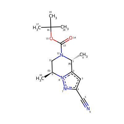 C[C@@H]1c2cc(C#N)nn2[C@@H](C)CN1C(=O)OC(C)(C)C